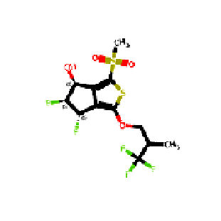 CC(COc1sc(S(C)(=O)=O)c2c1[C@H](F)[C@@H](F)[C@H]2O)C(F)(F)F